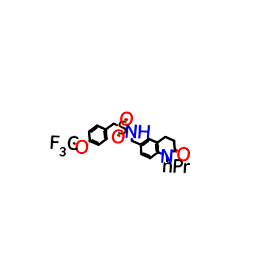 CCCN1C(=O)CCc2cc(CNS(=O)(=O)Cc3ccc(OC(F)(F)F)cc3)ccc21